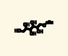 CCCCOCC(O)C(O)C(O)C(O)CO